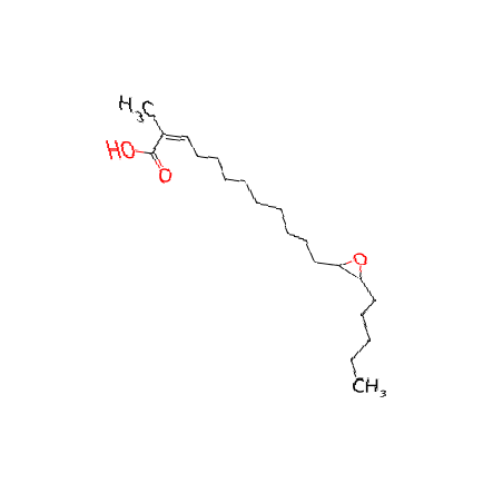 CCCCCC1OC1CCCCCCCCCC=C(C)C(=O)O